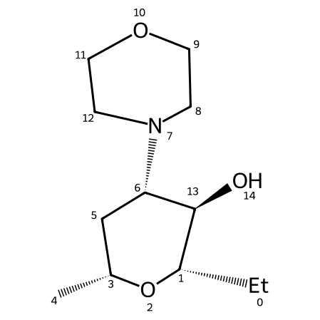 CC[C@@H]1O[C@H](C)C[C@H](N2CCOCC2)[C@H]1O